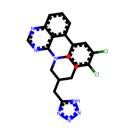 Clc1ccc(-c2cccc3ncnc(N4CCCC(Cc5nnn[nH]5)C4)c23)cc1Cl